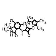 Cc1cc(C(Nc2c(Nc3c(F)cc(Cl)c4c3C(=O)NC4(C)C)c(=O)c2=O)C(C)(C)C)oc1C